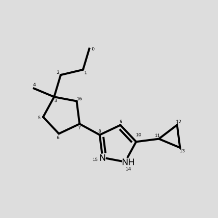 CCCC1(C)CCC(c2cc(C3CC3)[nH]n2)C1